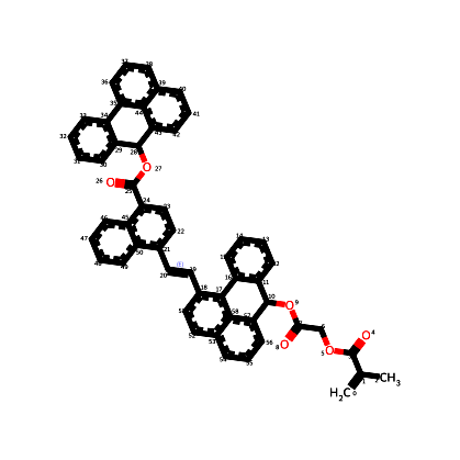 C=C(C)C(=O)OCC(=O)OC1c2ccccc2-c2c(/C=C/c3ccc(C(=O)OC4c5ccccc5-c5cccc6cccc4c56)c4ccccc34)ccc3cccc1c23